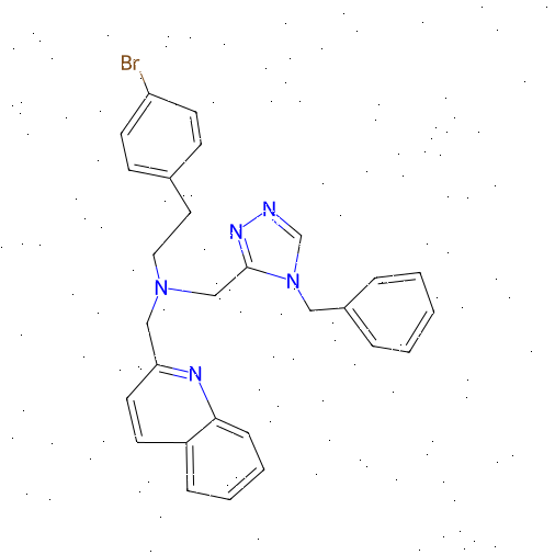 Brc1ccc(CCN(Cc2ccc3ccccc3n2)Cc2nncn2Cc2ccccc2)cc1